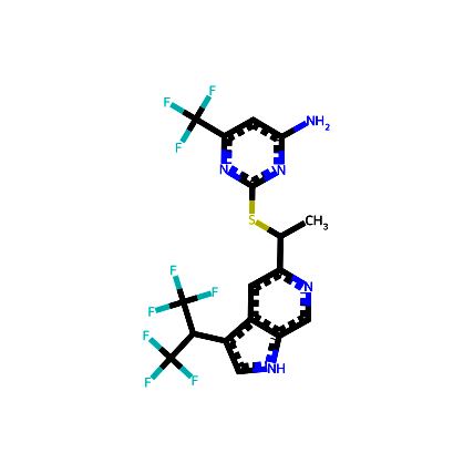 CC(Sc1nc(N)cc(C(F)(F)F)n1)c1cc2c(C(C(F)(F)F)C(F)(F)F)c[nH]c2cn1